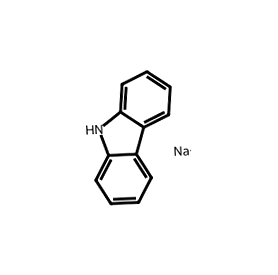 [Na].c1ccc2c(c1)[nH]c1ccccc12